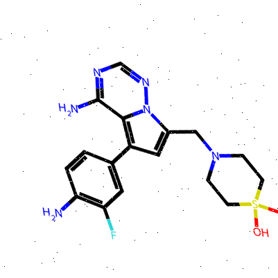 Nc1ccc(-c2cc(CN3CCS(O)(O)CC3)n3ncnc(N)c23)cc1F